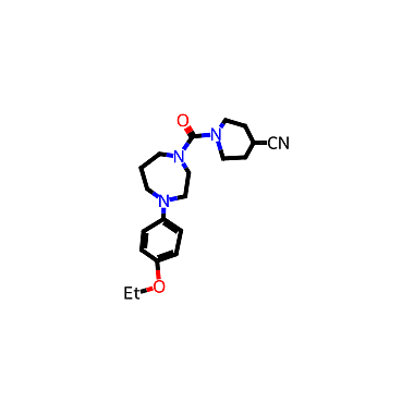 CCOc1ccc(N2CCCN(C(=O)N3CCC(C#N)CC3)CC2)cc1